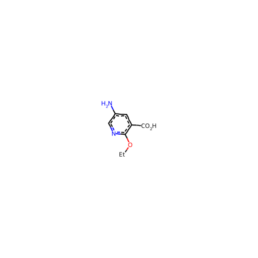 CCOc1ncc(N)cc1C(=O)O